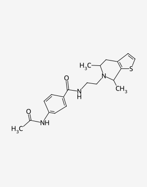 CC(=O)Nc1ccc(C(=O)NCCN2C(C)Cc3ccsc3C2C)cc1